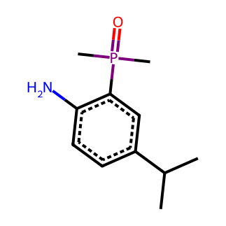 CC(C)c1ccc(N)c(P(C)(C)=O)c1